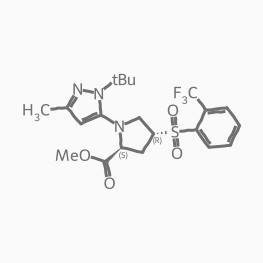 COC(=O)[C@@H]1C[C@@H](S(=O)(=O)c2ccccc2C(F)(F)F)CN1c1cc(C)nn1C(C)(C)C